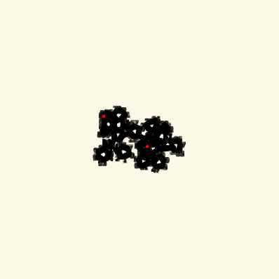 c1ccc(-n2c(-c3cc4c5c(c3)c3cc(-c6cccc7c6-c6ccccc6C76c7ccccc7-n7c8ccccc8c8cc([Si](c9ccccc9)(c9ccccc9)c9ccccc9)cc6c87)ccc3n5-c3ccccc3C43c4ccccc4-c4ccccc43)nc3ccccc32)cc1